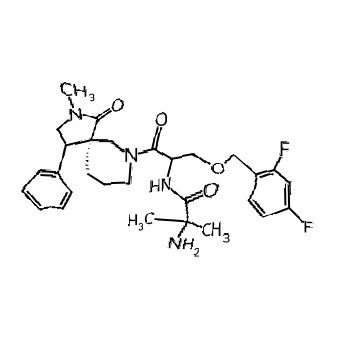 CN1CC(c2ccccc2)[C@@]2(CCCN(C(=O)C(COCc3ccc(F)cc3F)NC(=O)C(C)(C)N)C2)C1=O